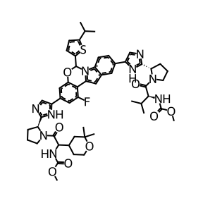 COC(=O)NC(C(=O)N1CCC[C@H]1c1ncc(-c2cc(F)c3c(c2)OC(c2ccc(C(C)C)s2)n2c-3cc3cc(-c4cnc([C@@H]5CCCN5C(=O)[C@@H](NC(=O)OC)C(C)C)[nH]4)ccc32)[nH]1)C1CCOC(C)(C)C1